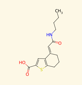 CCCCNC(=O)C=C1CCCc2sc(C(=O)O)cc21